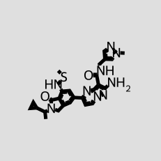 CSNc1cc(-c2ccn3nc(N)c(C(=O)NCc4cnn(C)c4)c3n2)cc2c1C(=O)N(C(C)C1CC1)C2